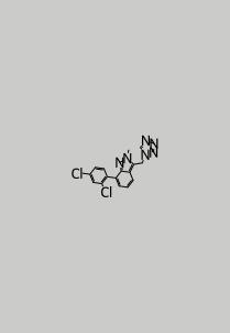 Cn1nc2c(-c3ccc(Cl)cc3Cl)cccc2c1Cn1cnnn1